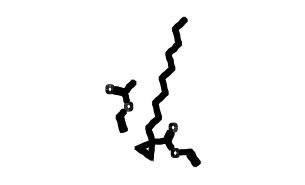 C=COC(=O)C1(CCCCCCCCCC)CC1.C=COC(C)=O